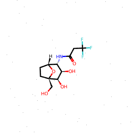 O=C(CC(F)(F)F)N[C@@H]1[C@@H](O)[C@@H](O)[C@]2(CO)CC[C@H]1O2